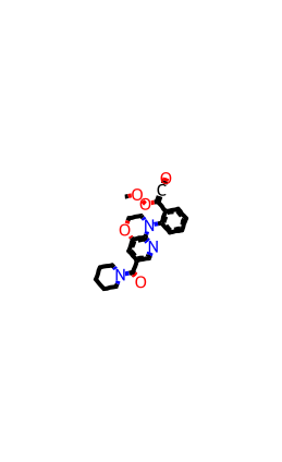 COOC(=C=O)c1ccccc1N1CCOc2cc(C(=O)N3CCCCC3)cnc21